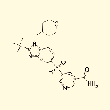 CC(C)(C)c1nc2cc(S(=O)(=O)c3cncc(C(N)=O)c3)ccc2n1CC1CCOCC1